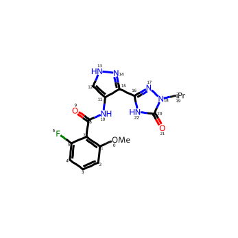 COc1cccc(F)c1C(=O)Nc1c[nH]nc1-c1nn(C(C)C)c(=O)[nH]1